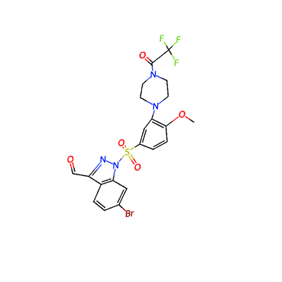 COc1ccc(S(=O)(=O)n2nc(C=O)c3ccc(Br)cc32)cc1N1CCN(C(=O)C(F)(F)F)CC1